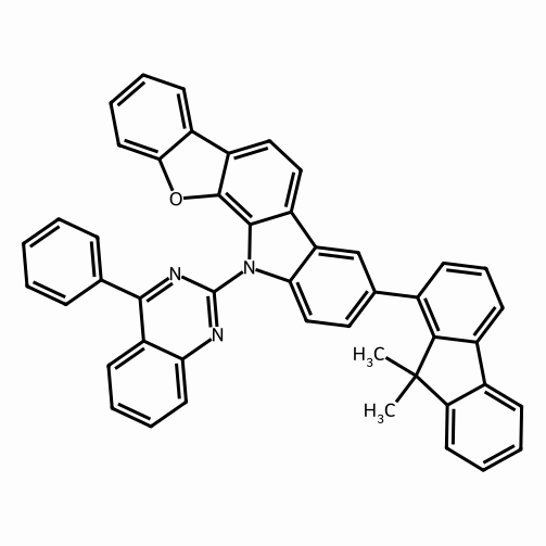 CC1(C)c2ccccc2-c2cccc(-c3ccc4c(c3)c3ccc5c6ccccc6oc5c3n4-c3nc(-c4ccccc4)c4ccccc4n3)c21